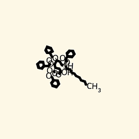 CCCCCCCCCC[SH]=C[C@H](OC(=O)c1ccccc1)[C@@H](OC(=O)c1ccccc1)[C@H](OC(=O)c1ccccc1)[C@@H](COC(=O)c1ccccc1)CC(=O)O